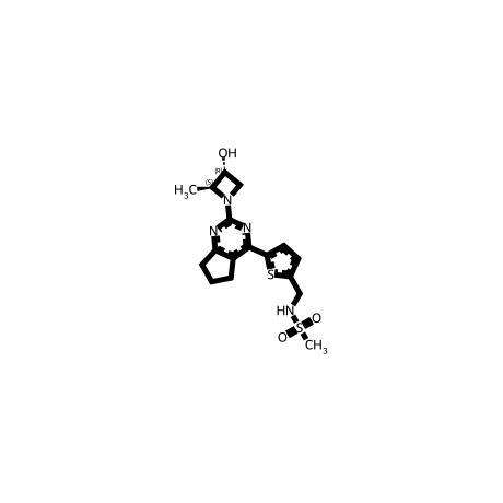 C[C@H]1[C@H](O)CN1c1nc2c(c(-c3ccc(CNS(C)(=O)=O)s3)n1)CCC2